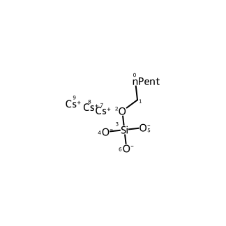 CCCCCCO[Si]([O-])([O-])[O-].[Cs+].[Cs+].[Cs+]